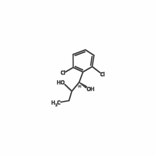 CCC(O)[C@H](O)c1c(Cl)cccc1Cl